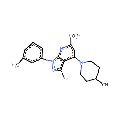 Cc1cccc(-n2nc(C(C)C)c3c(N4CCC(C#N)CC4)cc(C(=O)O)nc32)c1